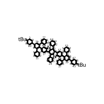 CC(C)(C)c1ccc(-c2cc(-c3ccccc3)c(-c3ccc4c5c6c7ccccc7n7c8cc(-c9c(-c%10ccccc%10)cc(-c%10ccc(C(C)(C)C)cc%10)cc9-c9ccccc9)ccc8c(c8c9ccccc9n(c4c3)c85)c67)c(-c3ccccc3)c2)cc1